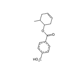 CC1CC=CCC1OC(=O)c1ccc(C(=O)O)cc1